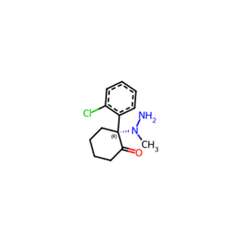 CN(N)[C@@]1(c2ccccc2Cl)CCCCC1=O